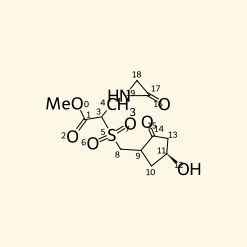 COC(=O)C(C)S(=O)(=O)CC1C[C@H](O)CC1=O.O=C1CN1